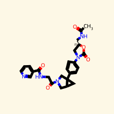 CC(=O)NC[C@H]1CN(c2ccc(C34CC3CN(C(=O)CNC(=O)c3cccnc3)C4)cc2)C(=O)O1